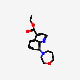 CCOC(=O)c1ccnc2c(N3CCCOCC3)cccc12